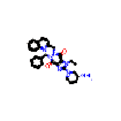 CCn1c(N2CCC[C@@H](N)C2)nc2c(=O)n(Cc3ccccc3)n(Cc3ccc4ccccc4n3)c(=O)c21